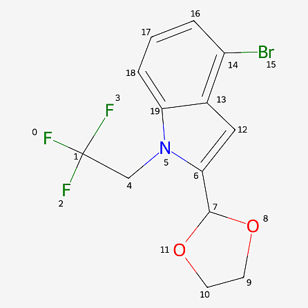 FC(F)(F)Cn1c(C2OCCO2)cc2c(Br)cccc21